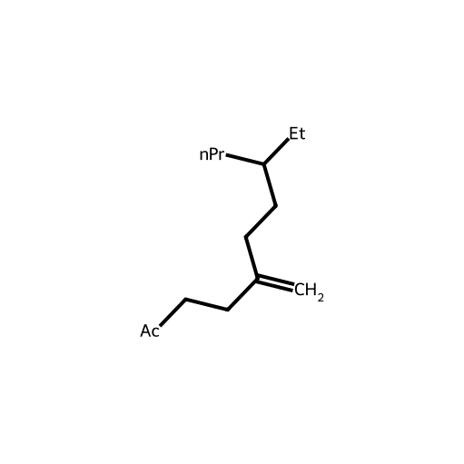 C=C(CCC(C)=O)CCC(CC)CCC